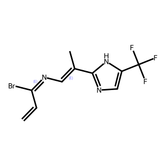 C=C/C(Br)=N\C=C(/C)c1ncc(C(F)(F)F)[nH]1